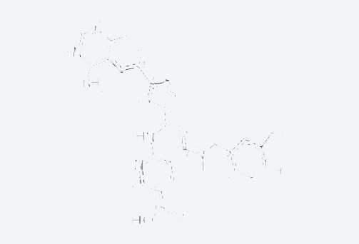 Nc1ncnc2ccc(-c3ccc(CNc4ncc(C(=O)O)cc4C(=O)NCc4ccc(F)c(F)c4)s3)cc12